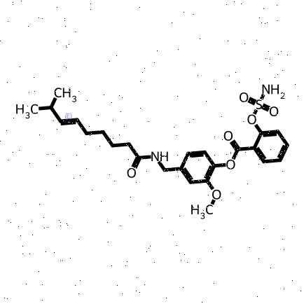 COc1cc(CNC(=O)CCCC/C=C/C(C)C)ccc1OC(=O)c1ccccc1OS(N)(=O)=O